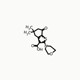 CC1(C)CC(=O)c2sc(N3CCOCC3)c(C(=O)O)c2C1